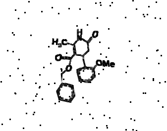 COc1ccccc1C1CC(=O)NC(C)=C1C(=O)OCc1ccccc1